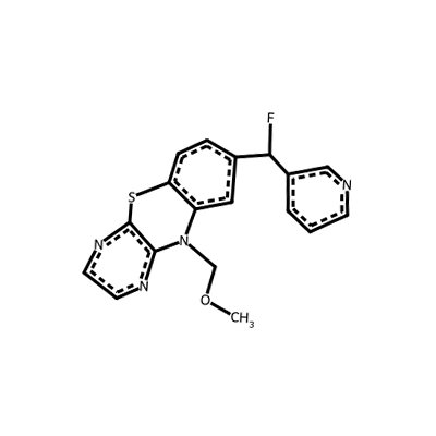 COCN1c2cc(C(F)c3cccnc3)ccc2Sc2nccnc21